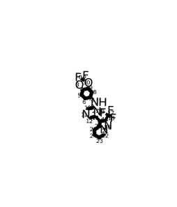 FC1(F)Oc2ccc(Nc3cncc(-c4c(C(F)(F)F)nn5ccccc45)n3)cc2O1